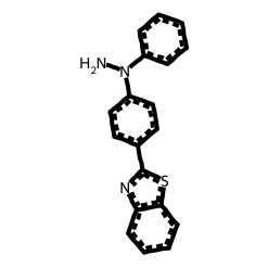 NN(c1ccccc1)c1ccc(-c2nc3ccccc3s2)cc1